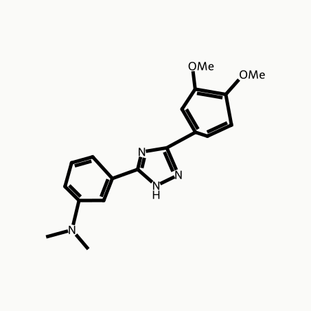 COc1ccc(-c2n[nH]c(-c3cccc(N(C)C)c3)n2)cc1OC